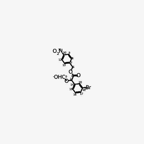 O=[C]OC(C(=O)OCc1ccc([N+](=O)[O-])cc1)c1cccc(Br)c1